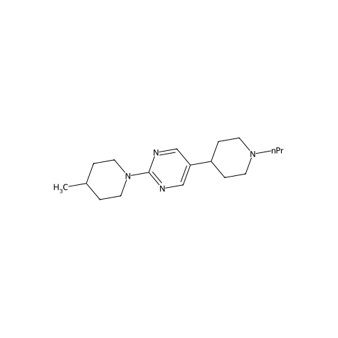 CCCN1CCC(c2cnc(N3CCC(C)CC3)nc2)CC1